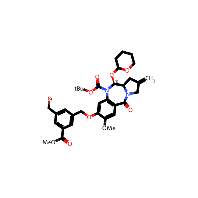 C=C1CC2[C@H](OC3CCCCO3)N(C(=O)OC(C)(C)C)c3cc(OCc4cc(CBr)cc(C(=O)OC)c4)c(OC)cc3C(=O)N2C1